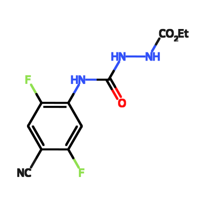 CCOC(=O)NNC(=O)Nc1cc(F)c(C#N)cc1F